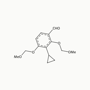 COCOc1ccc(C=O)c(OCOC)c1C1CC1